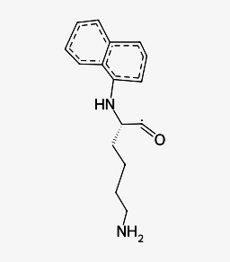 NCCCC[C@@H]([C]=O)Nc1cccc2ccccc12